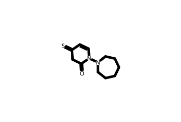 O=C1CC(=S)C=CN1N1CCCCCC1